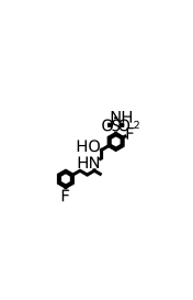 CC(CCc1cccc(F)c1)NCC(O)c1ccc(F)c(S(N)(=O)=O)c1